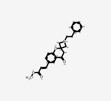 COC(=O)/C=C/c1ccc2c(c1)C(=O)CC1(CN(CCc3ccccc3)C1)O2